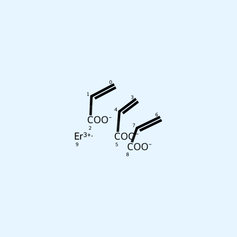 C=CC(=O)[O-].C=CC(=O)[O-].C=CC(=O)[O-].[Er+3]